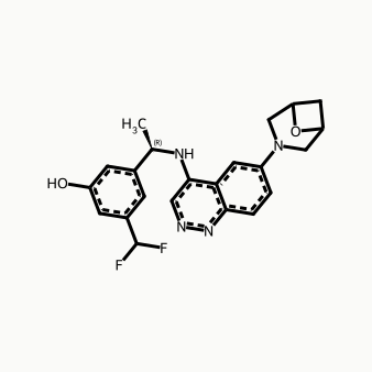 C[C@@H](Nc1cnnc2ccc(N3CC4CC(C3)O4)cc12)c1cc(O)cc(C(F)F)c1